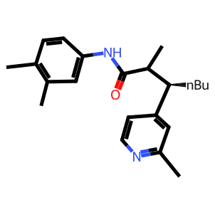 CCCC[C@@H](c1ccnc(C)c1)C(C)C(=O)Nc1ccc(C)c(C)c1